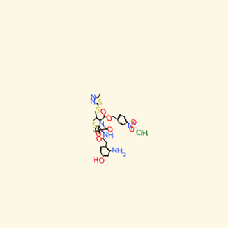 CO[C@@]1(NC(=O)Cc2ccc(O)cc2N)C(=O)N2C(C(=O)OCc3ccc([N+](=O)[O-])cc3)=C(CSc3nnc(C)s3)CS[C@H]21.Cl